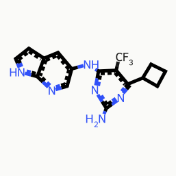 Nc1nc(Nc2cnc3[nH]ccc3c2)c(C(F)(F)F)c(C2CCC2)n1